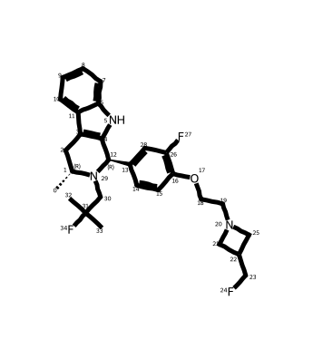 C[C@@H]1Cc2c([nH]c3ccccc23)[C@@H](c2ccc(OCCN3CC(CF)C3)c(F)c2)N1CC(C)(C)F